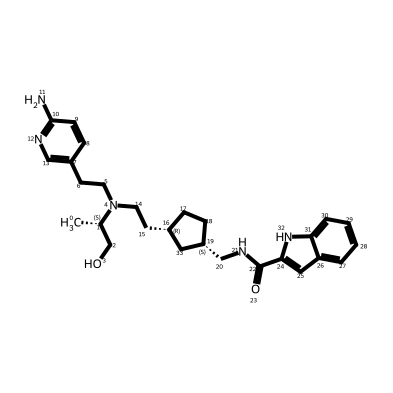 C[C@@H](CO)N(CCc1ccc(N)nc1)CC[C@@H]1CC[C@H](CNC(=O)c2cc3ccccc3[nH]2)C1